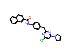 O=C(Nc1ccc(Cc2nc(Cl)[c]c(N3CC=CC3)n2)cc1)c1ccc2ccccc2c1